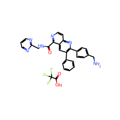 NCc1ccc(-c2nc3ccnc(C(=O)NCc4ncccn4)c3cc2-c2ccccc2)cc1.O=C(O)C(F)(F)F